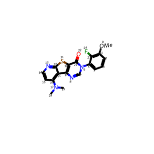 COc1cccc(-n2cnc3c(sc4nccc(N(C)C)c43)c2=O)c1F